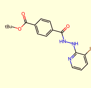 CC(C)(C)OC(=O)c1ccc(C(=O)NNc2ncccc2Br)cc1